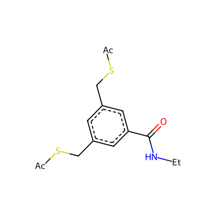 CCNC(=O)c1cc(CSC(C)=O)cc(CSC(C)=O)c1